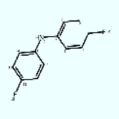 C/C=C(\C=C/CF)Nc1ccc(F)cc1